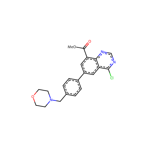 COC(=O)c1cc(-c2ccc(CN3CCOCC3)cc2)cc2c(Cl)ncnc12